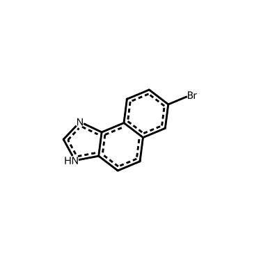 Brc1ccc2c(ccc3[nH]cnc32)c1